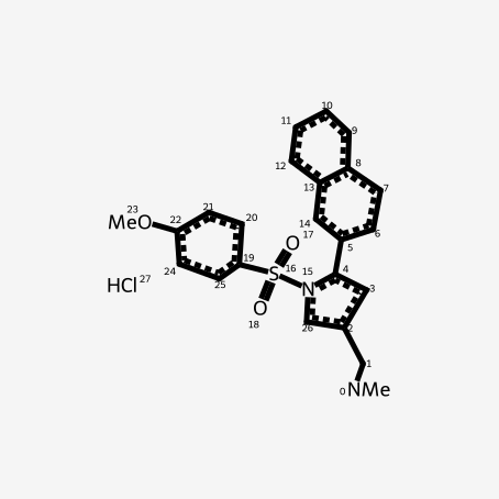 CNCc1cc(-c2ccc3ccccc3c2)n(S(=O)(=O)c2ccc(OC)cc2)c1.Cl